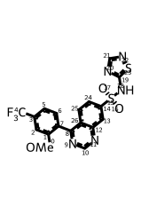 COc1cc(C(F)(F)F)ccc1-c1ncnc2cc(S(=O)(=O)Nc3ncns3)ccc12